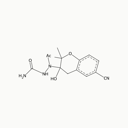 CC(=O)N(NC(N)=O)C1(O)Cc2cc(C#N)ccc2OC1(C)C